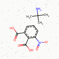 CC(C)(C)N.O=C(O)c1cccc([N+](=O)[O-])c1C(=O)O